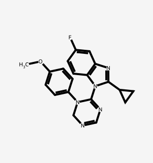 COc1ccc(N2CN=CN=C2n2c(C3CC3)nc3cc(F)ccc32)cc1